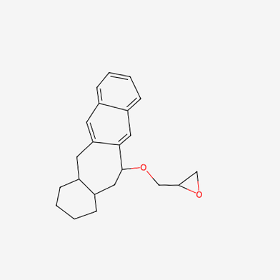 c1ccc2cc3c(cc2c1)CC1CCCCC1CC3OCC1CO1